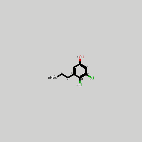 CCCCCCCCc1cc(O)cc(Cl)c1Cl